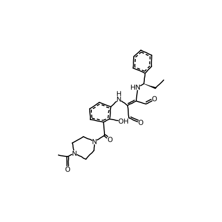 CC[C@@H](N/C(C=O)=C(/C=O)Nc1cccc(C(=O)N2CCN(C(C)=O)CC2)c1O)c1ccccc1